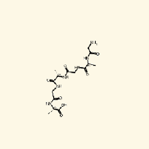 C[C@H](NC(=O)CNC(=O)[C@H](C)NC(=O)CNC(=O)[C@H](C)NC(=O)CN)C(=O)O